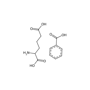 NC(CCCC(=O)O)C(=O)O.O=C(O)c1ccccc1